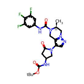 C[C@H]1Cn2ncc(N3CC(NC(=O)OC(C)(C)C)CC3=O)c2CN1C(=O)Nc1cc(F)c(F)c(F)c1